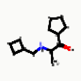 CC(NCC1CCC1)C(=O)C1CCCC1